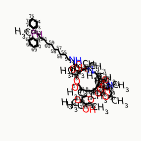 CC[C@H]1OC(=O)[C@H](C)[C@@H](C2C[C@@](C)(OC)[C@@H](O)[C@H](C)O2)[C@H](C)[C@@H](O[C@@H]2O[C@H](C)C[C@H](N(C)C)[C@H]2OC(C)=O)[C@](C)(O)C[C@@H](C)CN(C)[C@H](C)[C@@H](OC(=O)NCCCCCCCCCC[PH](C)(c2ccccc2)c2ccccc2)[C@]1(C)O